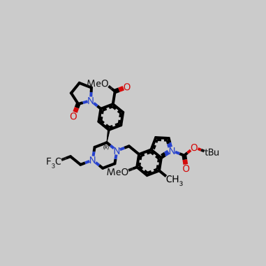 COC(=O)c1ccc([C@@H]2CN(CCC(F)(F)F)CCN2Cc2c(OC)cc(C)c3c2ccn3C(=O)OC(C)(C)C)cc1N1CCCC1=O